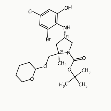 CC(C)(C)OC(=O)N1C[C@@H](Nc2c(O)cc(Cl)cc2Br)C[C@]1(C)COC1CCCCO1